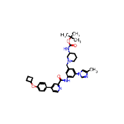 Cc1cn(-c2cc(CN3CCC[C@H](NC(=O)OC(C)(C)C)C3)cc(NC(=O)c3cc(-c4ccc(OC5CCC5)cc4)ccn3)c2)cn1